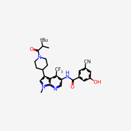 CC(C(=O)N1CCC(c2cn(C)c3ncc(NC(=O)c4cc(O)cc(C#N)c4)c(C(F)(F)F)c23)CC1)C(C)(C)C